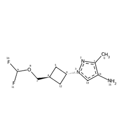 Cc1nn([C@H]2C[C@H](COC(F)F)C2)cc1N